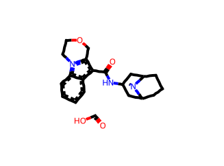 CN1C2CCCC1CC(NC(=O)c1c3n(c4ccccc14)CCOC3)C2.O=CO